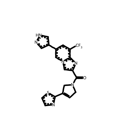 O=C(c1cn2cc(-c3cn[nH]c3)cc(C(F)(F)F)c2n1)N1CC=C(c2nccs2)C1